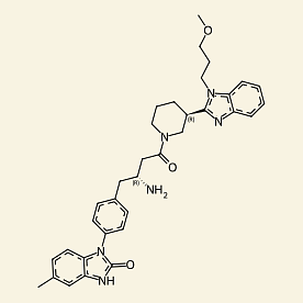 COCCCn1c([C@@H]2CCCN(C(=O)C[C@H](N)Cc3ccc(-n4c(=O)[nH]c5cc(C)ccc54)cc3)C2)nc2ccccc21